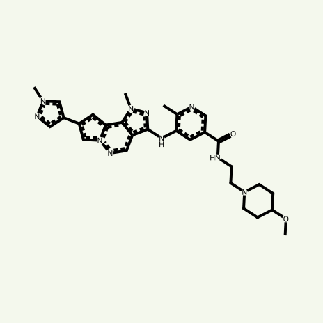 COC1CCN(CCNC(=O)c2cnc(C)c(Nc3nn(C)c4c3cnn3cc(-c5cnn(C)c5)cc43)c2)CC1